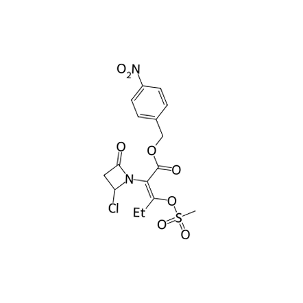 CCC(OS(C)(=O)=O)=C(C(=O)OCc1ccc([N+](=O)[O-])cc1)N1C(=O)CC1Cl